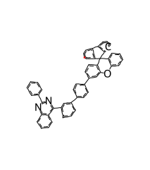 c1ccc(-c2nc(-c3cccc(-c4ccc(-c5ccc6c(c5)Oc5ccccc5C65c6ccccc6-c6ccccc65)cc4)c3)c3ccccc3n2)cc1